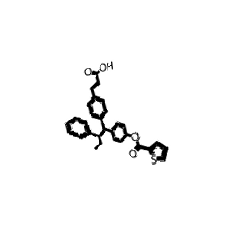 CC/C(=C(/c1ccc(/C=C/C(=O)O)cc1)c1ccc(OC(=O)c2cccs2)cc1)c1ccccc1